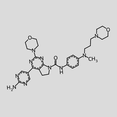 CN(CCCN1CCOCC1)c1ccc(NC(=O)N2CCc3c(-c4cnc(N)nc4)nc(N4CCOCC4)nc32)cc1